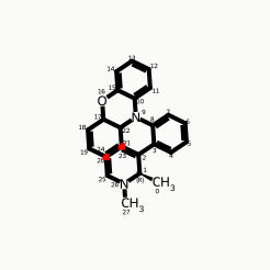 C[C@@H]1C(c2ccccc2N2c3ccccc3OC3C=CC=CC32)=CC=CN1C